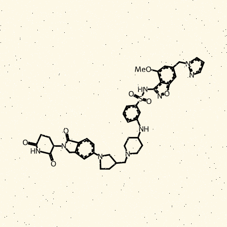 COc1cc(Cn2cccn2)cc2onc(NS(=O)(=O)c3cccc(NC4CCN(CC5CCN(c6ccc7c(c6)CN(C6CCC(=O)NC6=O)C7=O)C5)CC4)c3)c12